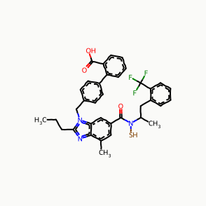 CCCc1nc2c(C)cc(C(=O)N(S)C(C)Cc3ccccc3C(F)(F)F)cc2n1Cc1ccc(-c2ccccc2C(=O)O)cc1